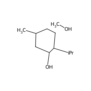 CC1CCC(C(C)C)C(O)C1.CO